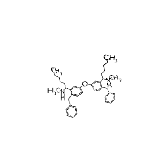 CCCCCC(NC)c1cc(Oc2ccc(Cc3ccccc3)c(C(CCCCC)NC)c2)ccc1Cc1ccccc1